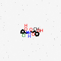 Cc1c(C(=O)N/N=C/c2c(O)cccc2Cl)oc2cccc(O)c12